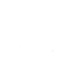 C[C@@H]1Cc2c([nH]c3ccccc23)C(c2c(F)cc(/C=C/C(=O)O)cc2F)N1CC(C)(F)F